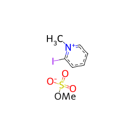 COS(=O)(=O)[O-].C[n+]1ccccc1I